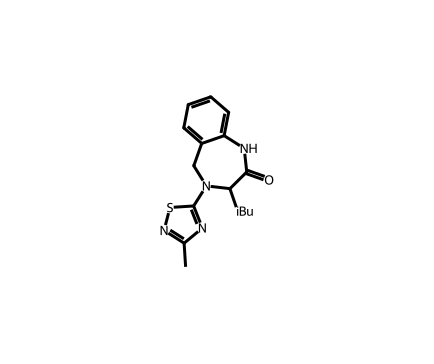 CCC(C)C1C(=O)Nc2ccccc2CN1c1nc(C)ns1